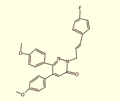 COc1ccc(-c2cc(=O)n(C/C=C/c3ccc(F)cc3)nc2-c2ccc(OC)cc2)cc1